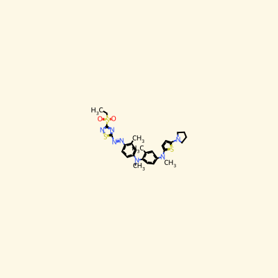 CCS(=O)(=O)c1nsc(/N=N/c2ccc(N(C)c3ccc(N(C)c4ccc(N5CCCC5)s4)cc3C)cc2C)n1